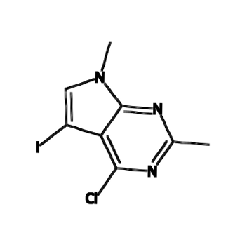 Cc1nc(Cl)c2c(I)cn(C)c2n1